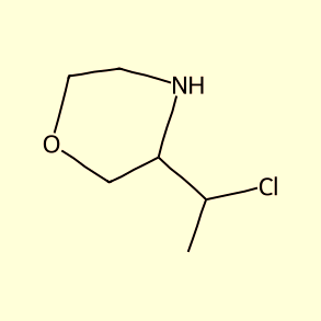 CC(Cl)C1COCCN1